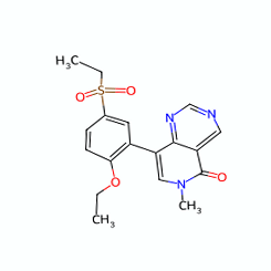 CCOc1ccc(S(=O)(=O)CC)cc1-c1cn(C)c(=O)c2cncnc12